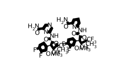 COc1c([C@H]2[C@H](C(=O)Nc3cccc(C(N)=O)n3)O[C@@](C)(C(F)(F)F)[C@H]2C)ccc(F)c1F.COc1c([C@H]2[C@H](C(=O)Nc3cncc(C(N)=O)n3)O[C@@](C)(C(F)(F)F)[C@H]2C)ccc(F)c1F